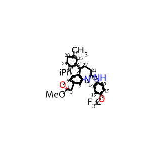 COC(=O)Cc1ccc2c(c1)N=C(Nc1ccc(OC(F)(F)F)cc1)CCC2[C@@H]1C[C@H](C)CC[C@H]1C(C)C